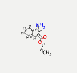 C=CCOC(=O)c1cc(N)c2ccccc2c1